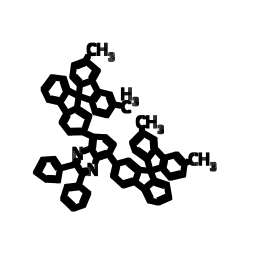 Cc1ccc2c(c1)-c1cc(C)ccc1C21c2ccccc2-c2ccc(-c3ccc(-c4ccc5c(c4)C4(c6ccccc6-5)c5ccc(C)cc5-c5cc(C)ccc54)c4nc(-c5ccccc5)c(-c5ccccc5)nc34)cc21